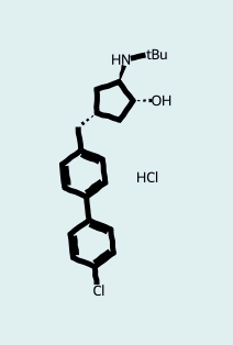 CC(C)(C)N[C@@H]1C[C@@H](Cc2ccc(-c3ccc(Cl)cc3)cc2)C[C@H]1O.Cl